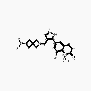 CC[S+]([O-])N1CC2(CN(Cc3cn[nH]c3-c3cc(Cl)c4c(c3)CCC(=O)N4C)C2)C1